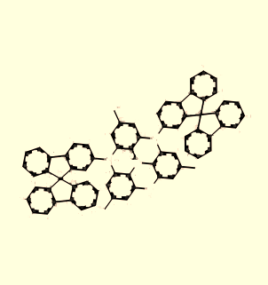 Cc1cc2c3c(c1)N(c1ccc4c(c1)C1(c5ccccc5-c5ccccc51)c1ccccc1-4)c1cc(C)cc4c1P3(=O)c1c(cc(C)cc1N4c1ccc3c(c1)C1(c4ccccc4-c4ccccc41)c1ccccc1-3)O2